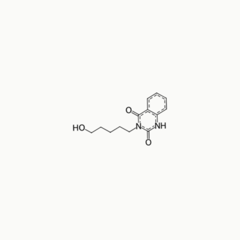 O=c1[nH]c2ccccc2c(=O)n1CCCCCO